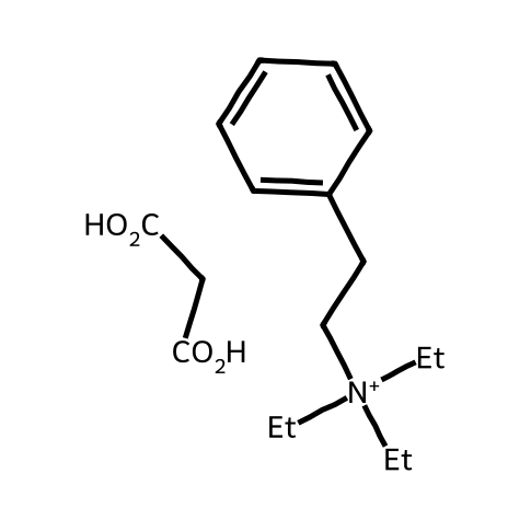 CC[N+](CC)(CC)CCc1ccccc1.O=C(O)CC(=O)O